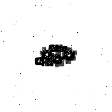 COc1ccc(Cl)c2[nH]c3ccc(-c4ccccc4)cc3c12